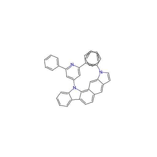 c1ccc(-c2cc(-n3c4ccccc4c4ccc5cc6ccn(-c7ccccc7)c6cc5c43)cc(-c3ccccc3)n2)cc1